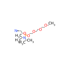 CCOCCOCCOCCOP(OCCC#N)N(C(C)C)C(C)C